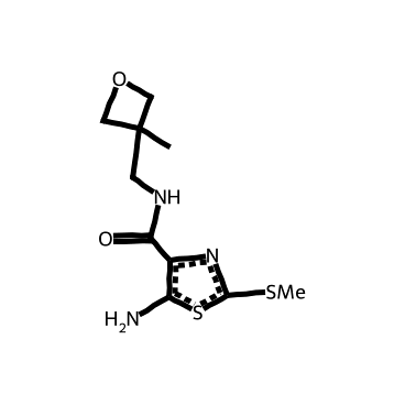 CSc1nc(C(=O)NCC2(C)COC2)c(N)s1